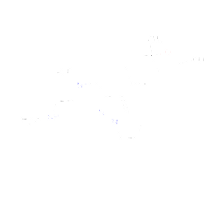 CCOC1(C)CCC(c2c(CN(C)CCNC)nn3c2CCC3)CC1